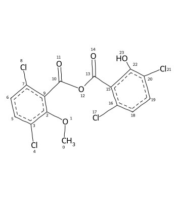 COc1c(Cl)ccc(Cl)c1C(=O)OC(=O)c1c(Cl)ccc(Cl)c1O